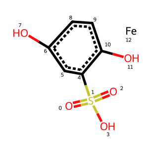 O=S(=O)(O)c1cc(O)ccc1O.[Fe]